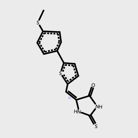 CSc1ccc(-c2ccc(/C=C3/NC(=S)NC3=O)s2)cc1